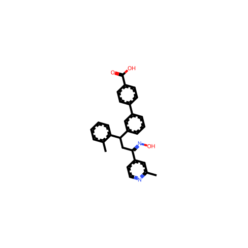 Cc1cc(C(CC(c2cccc(-c3ccc(C(=O)O)cc3)c2)c2ccccc2C)=NO)ccn1